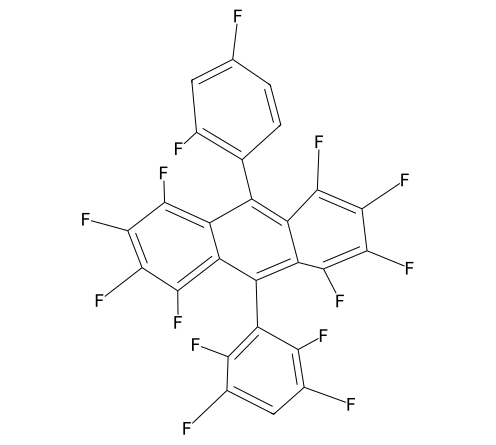 Fc1ccc(-c2c3c(F)c(F)c(F)c(F)c3c(-c3c(F)c(F)cc(F)c3F)c3c(F)c(F)c(F)c(F)c23)c(F)c1